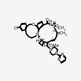 CO[C@@]1(CN2CCN(c3ncccn3)CC2)/C=C/C[C@H](C)[C@@H](C)S(=O)(=O)NC(=O)c2ccc3c(c2)N(CCCCc2cc(Cl)ccc2CO3)C[C@@H]2CC[C@H]21